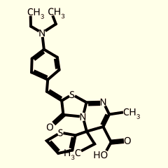 CCN(CC)c1ccc(/C=c2\sc3n(c2=O)C(CC)(c2cccs2)C(C(=O)O)=C(C)N=3)cc1